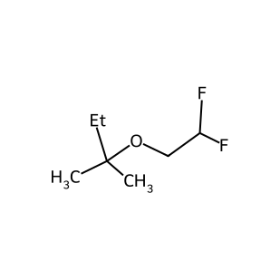 CCC(C)(C)OCC(F)F